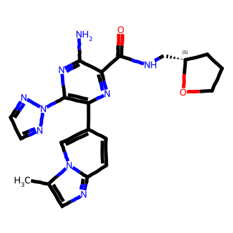 Cc1cnc2ccc(-c3nc(C(=O)NC[C@@H]4CCCO4)c(N)nc3-n3nccn3)cn12